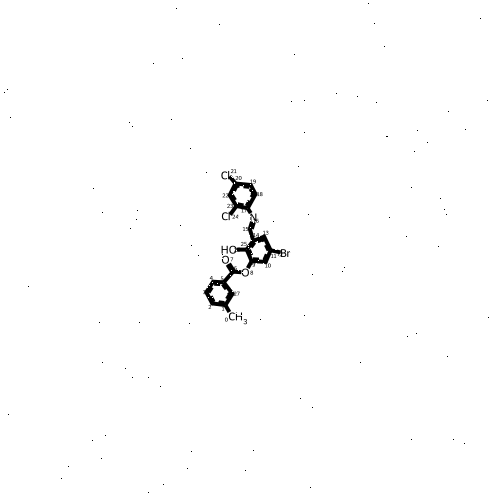 Cc1cccc(C(=O)Oc2cc(Br)cc(C=Nc3ccc(Cl)cc3Cl)c2O)c1